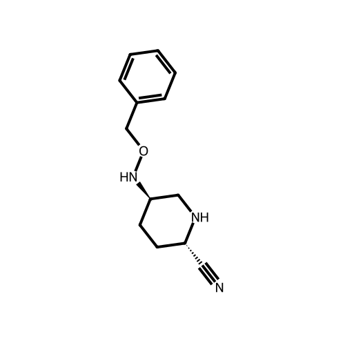 N#C[C@@H]1CC[C@@H](NOCc2ccccc2)CN1